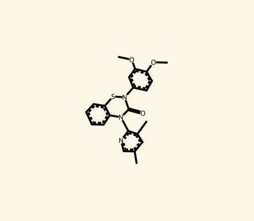 COc1ccc(N2Sc3ccccc3N(c3ncc(C)cc3C)C2=O)cc1OC